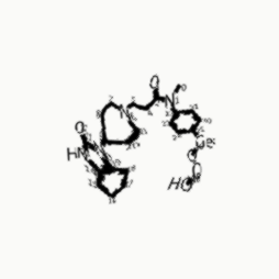 CN(C(=O)CCN1CCC(n2c(=O)[nH]c3ccccc32)CC1)c1cc[c]([Ge][O]OO)cc1